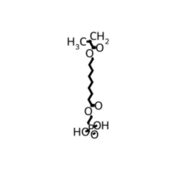 C=C(C)C(=O)OCCCCCCCCC(=O)OCCP(=O)(O)O